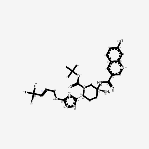 CC(C)(C)OC(=O)N1C[C@]([SiH3])(NC(=O)c2cnc3cc(Cl)ccc3c2)CC[C@@H]1c1nnc(OC/C=C/C(F)(F)F)o1